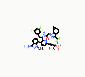 Cn1nc(N)c2cccc(-c3ccc(C#CC(C)(C)O)nc3C(Cc3cc(F)cc(F)c3)NC(=O)Cn3nc(C(F)F)c4c3C3CC3CC4)c21